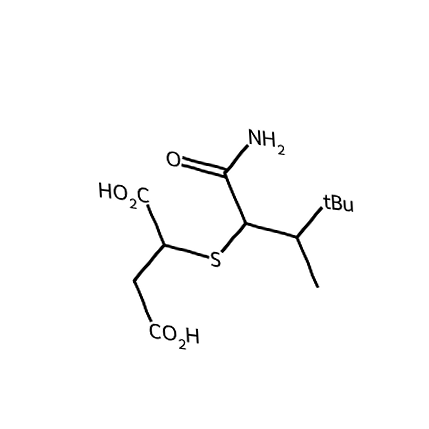 CC(C(SC(CC(=O)O)C(=O)O)C(N)=O)C(C)(C)C